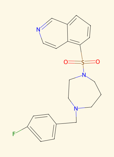 O=S(=O)(c1cccc2cnccc12)N1CCCN(Cc2ccc(F)cc2)CC1